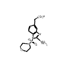 Nc1nc2cc(CC(=O)O)ccc2n1S(=O)(=O)N1CCOCC1